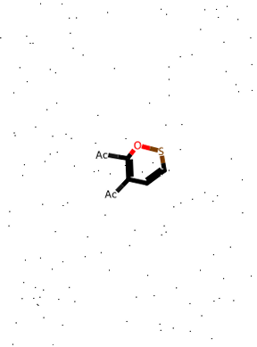 CC(=O)C1=C(C(C)=O)OSC=C1